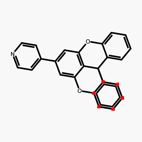 c1ccc(C23c4ccccc4Oc4cc(-c5ccncc5)cc(c42)Oc2ccccc23)cc1